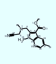 COC(=O)c1c(CN(C)CC#N)n(P)c2ncc(C)cc12